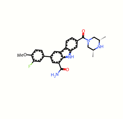 COc1ccc(-c2cc(C(N)=O)c3[nH]c4cc(C(=O)N5C[C@@H](C)N[C@@H](C)C5)ccc4c3c2)cc1F